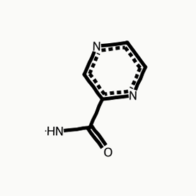 [NH]C(=O)c1cnccn1